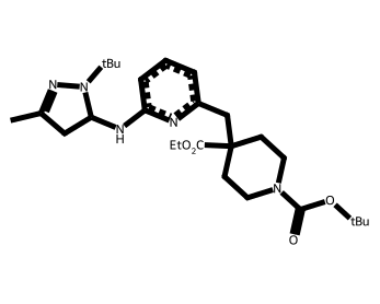 CCOC(=O)C1(Cc2cccc(NC3CC(C)=NN3C(C)(C)C)n2)CCN(C(=O)OC(C)(C)C)CC1